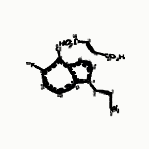 NCCn1ccc2c(Cl)c(F)ccc21.O=C(O)/C=C/C(=O)O